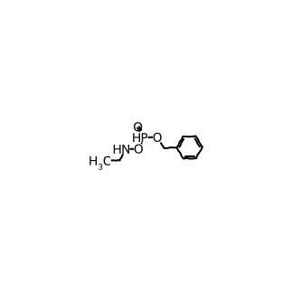 CCNO[PH](=O)OCc1ccccc1